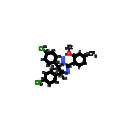 CCOc1cc(C(F)(F)F)ccc1C1=N[C@@](C)(c2ccc(Cl)cc2)[C@@](C)(c2ccc(Cl)cc2)N1